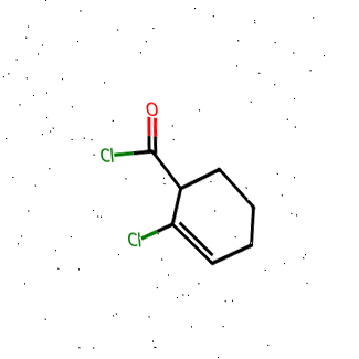 O=C(Cl)C1CCCC=C1Cl